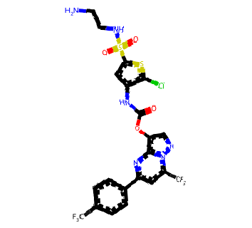 NCCNS(=O)(=O)c1cc(NC(=O)Oc2cnn3c(C(F)(F)F)cc(-c4ccc(C(F)(F)F)cc4)nc23)c(Cl)s1